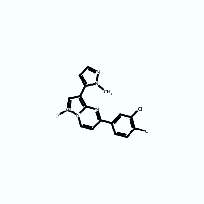 Cn1nccc1-c1c[n+]([O-])n2ccc(-c3ccc(Cl)c(Cl)c3)nc12